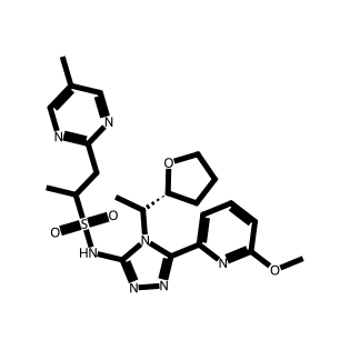 COc1cccc(-c2nnc(NS(=O)(=O)C(C)Cc3ncc(C)cn3)n2C(C)[C@H]2CCCO2)n1